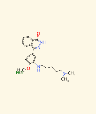 COc1ccc(-c2n[nH]c(=O)c3ccccc23)cc1NCCCCCN(C)C.Cl